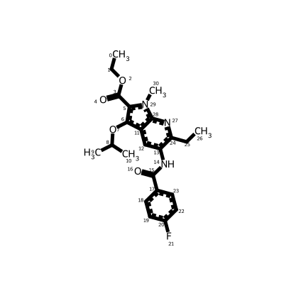 CCOC(=O)c1c(OC(C)C)c2cc(NC(=O)c3ccc(F)cc3)c(CC)nc2n1C